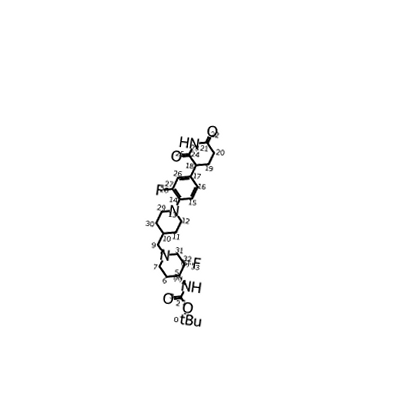 CC(C)(C)OC(=O)N[C@@H]1CCN(CC2CCN(c3ccc(C4CCC(=O)NC4=O)cc3F)CC2)C[C@@H]1F